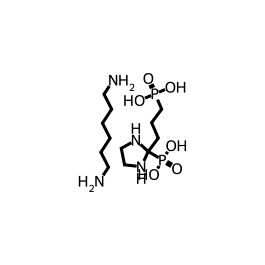 NCCCCCCN.O=P(O)(O)CCCC1(P(=O)(O)O)NCCN1